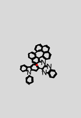 c1ccc(-n2c3ccccc3c3ccc(-c4nc5ccccc5nc4-n4c5ccc6cccc7c6c5c5c6c(ccc8cccc-7c86)ccc54)cc32)cc1